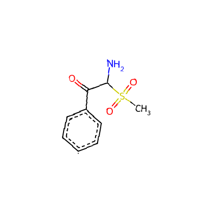 CS(=O)(=O)C(N)C(=O)c1cc[c]cc1